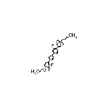 C=CCOc1ccc(-c2ccc(-c3ccc(C4COC(CC/C=C/C)OC4)c(F)c3)cc2)c(F)c1F